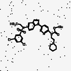 CC(C)(C)OC(=O)N(CCN1CCCCC1)c1ccc(-n2ccc3cc(N(CC(=O)O)S(=O)(=O)c4cc(Cl)cc(Cl)c4)ccc32)nn1